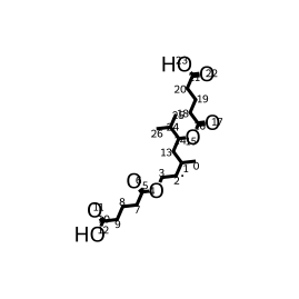 CC([CH]COC(=O)CCCC(=O)O)CC(OC(=O)CCCC(=O)O)C(C)C